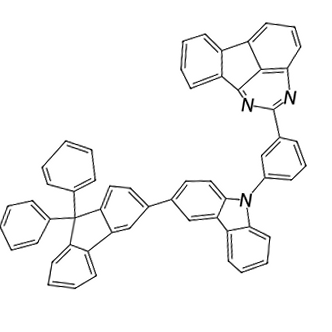 c1ccc(C2(c3ccccc3)c3ccccc3-c3cc(-c4ccc5c(c4)c4ccccc4n5-c4cccc(-c5nc6c7c(cccc7n5)-c5ccccc5-6)c4)ccc32)cc1